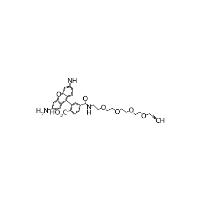 C#CCOCCOCCOCCOCCNC(=O)c1ccc(C(=O)O)c(-c2c3ccc(=N)cc-3oc3cc(N)ccc23)c1